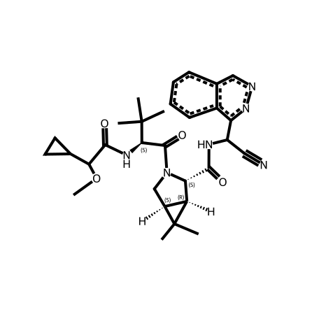 COC(C(=O)N[C@H](C(=O)N1C[C@H]2[C@@H]([C@H]1C(=O)NC(C#N)c1nncc3ccccc13)C2(C)C)C(C)(C)C)C1CC1